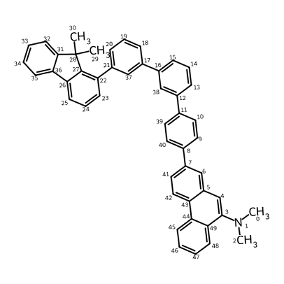 CN(C)c1cc2cc(-c3ccc(-c4cccc(-c5cccc(-c6cccc7c6C(C)(C)c6ccccc6-7)c5)c4)cc3)ccc2c2ccccc12